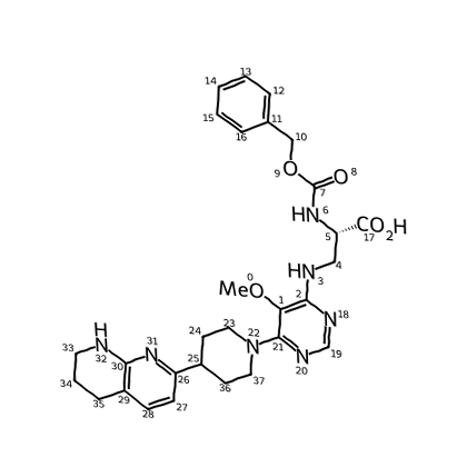 COc1c(NC[C@H](NC(=O)OCc2ccccc2)C(=O)O)ncnc1N1CCC(c2ccc3c(n2)NCCC3)CC1